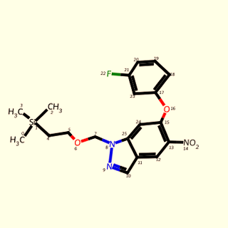 C[Si](C)(C)CCOCn1ncc2cc([N+](=O)[O-])c(Oc3cccc(F)c3)cc21